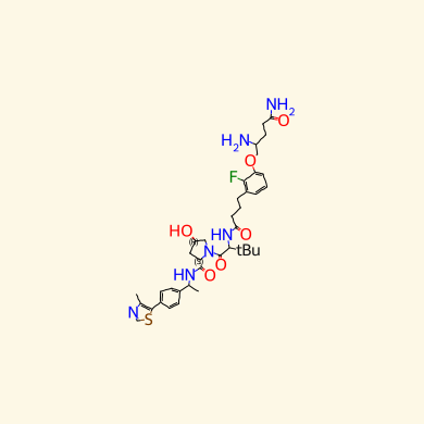 Cc1ncsc1-c1ccc(C(C)NC(=O)[C@@H]2C[C@@H](O)CN2C(=O)C(NC(=O)CCCc2cccc(OCC(N)CCC(N)=O)c2F)C(C)(C)C)cc1